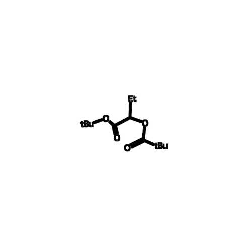 CCC(OC(=O)C(C)(C)C)C(=O)OC(C)(C)C